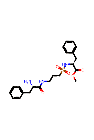 COC(=O)[C@H](Cc1ccccc1)NS(=O)(=O)CCCNC(=O)[C@@H](N)Cc1ccccc1